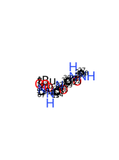 CC(C)(C)OC(=O)N1CCC[C@H]1C(=O)Nc1ccc2oc(-c3ccc(NC(=O)[C@@H]4CCCN4)cc3)nc2c1